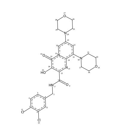 O=C(NCc1ccc(Cl)c(Cl)c1)c1nc2c(N3CCOCC3)cc(N3CCOCC3)cn2c(=O)c1O